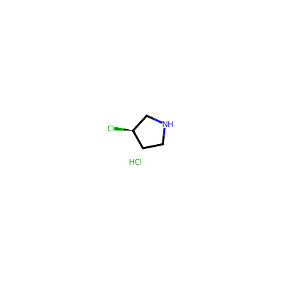 Cl.Cl[C@@H]1CCNC1